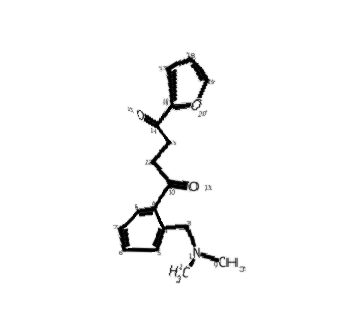 CN(C)Cc1ccccc1C(=O)CCC(=O)c1ccco1